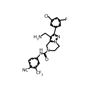 N#Cc1ccc(NC(=O)N2CCn3nc(-c4cc(F)cc(Cl)c4)c(CN)c3C2)cc1C(F)(F)F